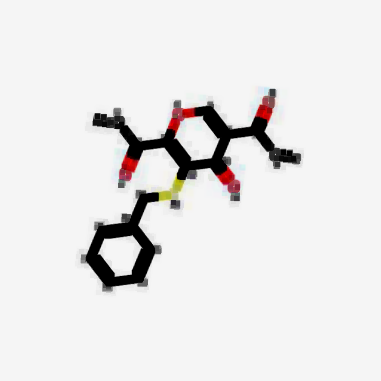 COC(=O)c1occ(C(=O)OC)c(=O)c1SCc1ccccc1